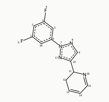 Fc1cc(F)cc(-n2ncc(C3CC=CC=N3)n2)c1